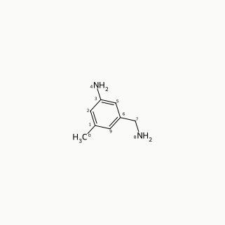 Cc1cc(N)cc(CN)c1